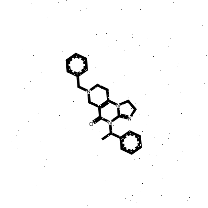 CC(c1ccccc1)N1C(=O)C2=C(CCN(Cc3ccccc3)C2)N2CCN=C21